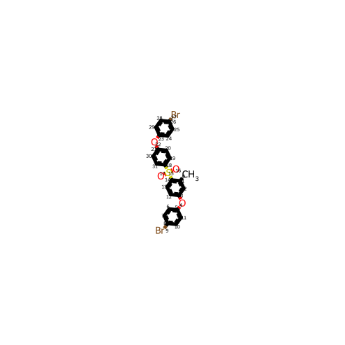 Cc1cc(Oc2ccc(Br)cc2)ccc1S(=O)(=O)c1ccc(Oc2ccc(Br)cc2)cc1